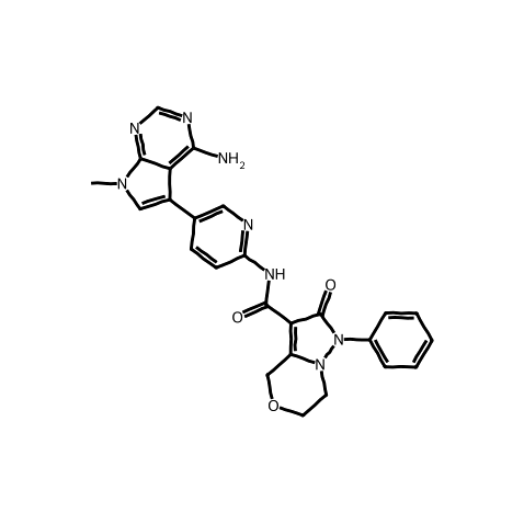 Cn1cc(-c2ccc(NC(=O)c3c4n(n(-c5ccccc5)c3=O)CCOC4)nc2)c2c(N)ncnc21